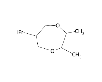 CC(C)C1COC(C)C(C)OC1